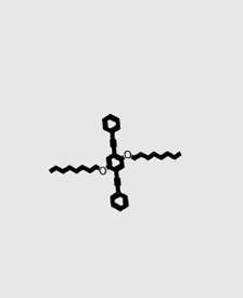 CCCCCCCCOc1cc(C#Cc2ccccc2)c(OCCCCCCCC)cc1C#Cc1ccccc1